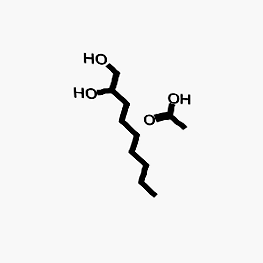 CC(=O)O.CCCCCCCC(O)CO